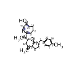 Cc1ccc(CN2CCC(N(C)CCN(C)C3=C/CC/C=C(O)/C=N\3)C2=O)cc1